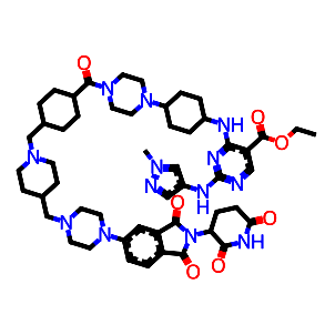 CCOC(=O)c1cnc(Nc2cnn(C)c2)nc1NC1CCC(N2CCN(C(=O)C3CCC(CN4CCC(CN5CCN(c6ccc7c(c6)C(=O)N(C6CCC(=O)NC6=O)C7=O)CC5)CC4)CC3)CC2)CC1